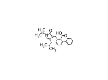 CC(C)Cc1cn(C(C)C)c(=O)n1Cc1cccc(-c2ccccc2)c1C(=O)O